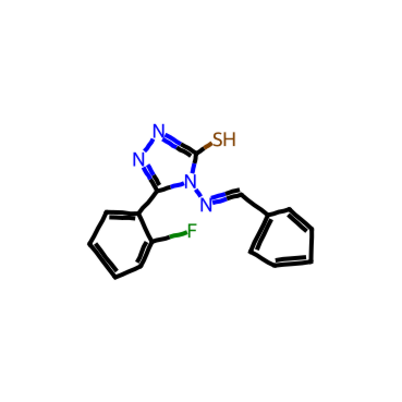 Fc1ccccc1-c1nnc(S)n1N=Cc1ccccc1